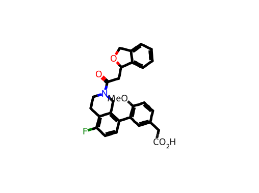 COc1ccc(CC(=O)O)cc1-c1ccc(F)c2c1CN(C(=O)CC1OCc3ccccc31)CC2